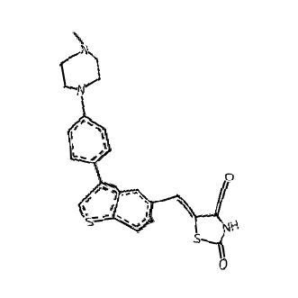 CN1CCN(c2ccc(-c3csc4ccc(/C=C5\SC(=O)NC5=O)cc34)cc2)CC1